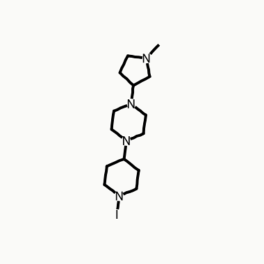 CN1CCC(N2CCN(C3CCN(I)CC3)CC2)C1